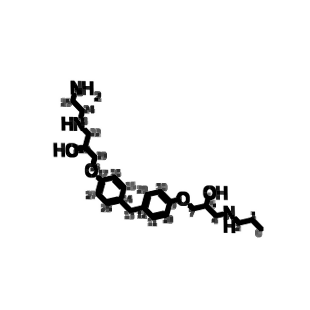 CCCNCC(O)COc1ccc(Cc2ccc(OCC(O)CNCCN)cc2)cc1